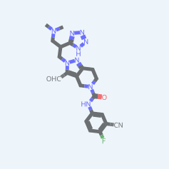 CN(C)CC(Cn1nc2c(c1C=O)CN(C(=O)Nc1ccc(F)c(C#N)c1)CC2)c1nnn[nH]1